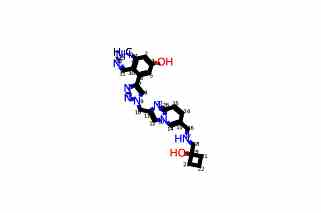 Cc1cc(O)cc(-c2cn(Cc3cn4cc(CNCC5(O)CCC5)ccc4n3)nn2)c1/C=N\N